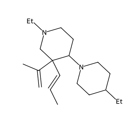 C=C(C)C1(/C=C/C)CN(CC)CCC1N1CCC(CC)CC1